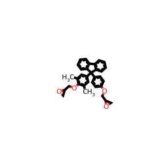 Cc1cc(C2(c3ccc(OCC4CO4)cc3)c3ccccc3-c3ccccc32)cc(C)c1OCC1CO1